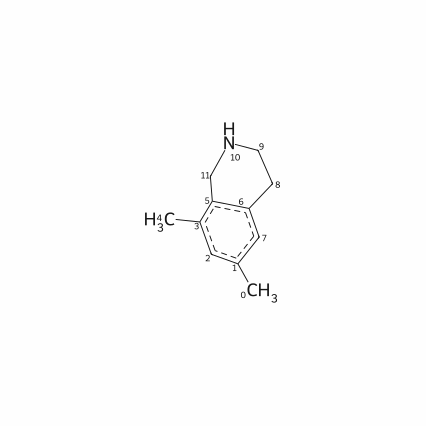 Cc1cc(C)c2c(c1)CCNC2